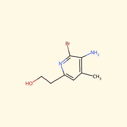 Cc1cc(CCO)nc(Br)c1N